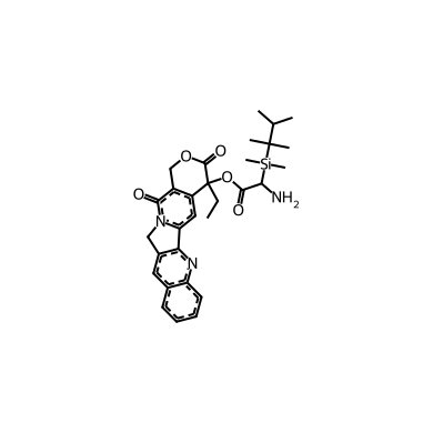 CCC1(OC(=O)C(N)[Si](C)(C)C(C)(C)C(C)C)C(=O)OCc2c1cc1n(c2=O)Cc2cc3ccccc3nc2-1